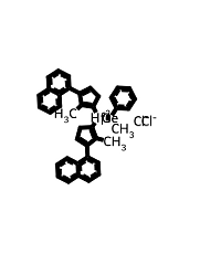 CC1=[C]([Hf+2]([C]2=C(C)C(c3cccc4ccccc34)=CC2)=[Ge]([CH3])[c]2ccccc2)CC=C1c1cccc2ccccc12.[Cl-].[Cl-]